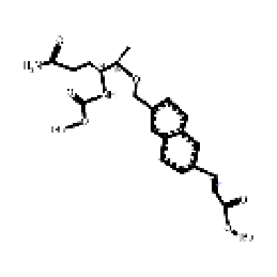 C[C@@H](OCc1ccc2cc(/C=C/C(=O)OC(C)(C)C)ccc2c1)[C@H](CCC(N)=O)NC(=O)OC(C)(C)C